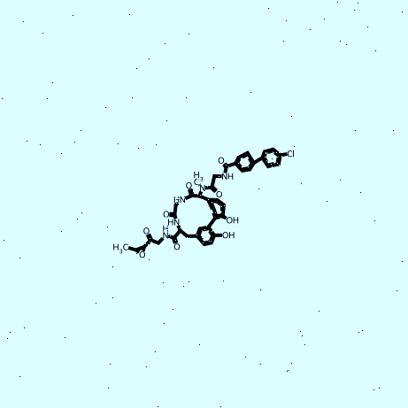 CC1OC1C(=O)CNC(=O)C1Cc2ccc(O)c(c2)-c2cc(ccc2O)C(N(C)C(=O)CNC(=O)c2ccc(-c3ccc(Cl)cc3)cc2)C(=O)NCC(=O)N1